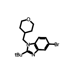 CC(C)(C)c1nc2cc(Br)ccc2n1CC1CCOCC1